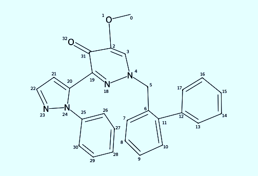 COc1cn(Cc2ccccc2-c2ccccc2)nc(-c2ccnn2-c2ccccc2)c1=O